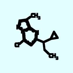 CCC(c1cc(Cl)n2ncc(C)c2n1)C1CC1